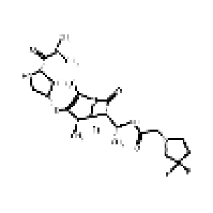 C[C@@H](NC(=O)CN1CCC(F)(F)C1)[C@H]1C(=O)N2C(C(=O)O)=C(S[C@@H]3CN[C@H](C(=O)N(C)C)C3)[C@H](C)[C@H]12